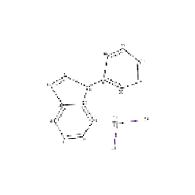 C1=Cc2ccccc2[C]1c1ccccc1.[I][Ti][I]